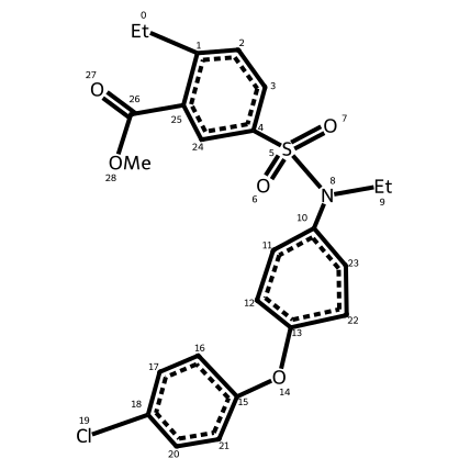 CCc1ccc(S(=O)(=O)N(CC)c2ccc(Oc3ccc(Cl)cc3)cc2)cc1C(=O)OC